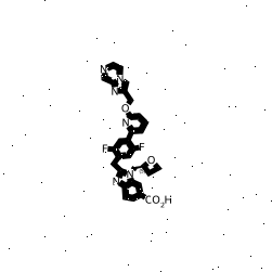 O=C(O)c1ccc2nc(Cc3cc(F)c(-c4cccc(OCc5cn6ccncc6n5)n4)cc3F)n(C[C@@H]3CCO3)c2c1